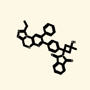 CCc1nnc2n1-c1cc(-c3ccccc3)c(-c3ccc(C4(N5C(=O)c6ccccc6C5=O)CC(C)(O)C4)cc3)nc1OC2